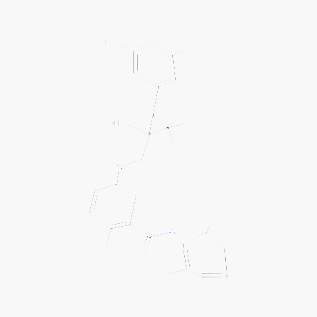 O=CC1(CNc2ccc(Cl)c(C(=O)Nc3c(F)cccc3F)c2)C(c2cc(C(F)(F)F)cc(C(F)(F)F)c2)C1(Cl)Cl